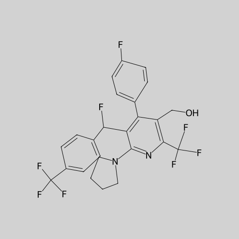 OCc1c(C(F)(F)F)nc(N2CCCC2)c(C(F)c2ccc(C(F)(F)F)cc2)c1-c1ccc(F)cc1